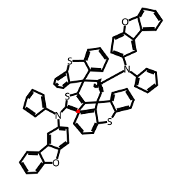 c1ccc(N(c2ccc3oc4ccccc4c3c2)c2cc3c(s2)C2(c4ccccc4Sc4ccccc42)c2cc(N(c4ccccc4)c4ccc5oc6ccccc6c5c4)sc2C32c3ccccc3Sc3ccccc32)cc1